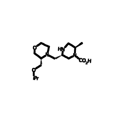 CC(C)OC[C@@H]1COCCN1C[C@H]1CN(C(=O)O)[C@H](C)CN1